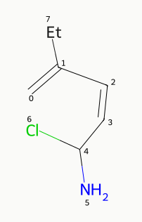 C=C(/C=C\C(N)Cl)CC